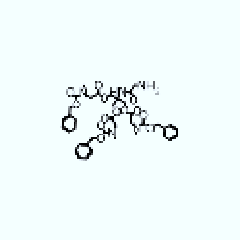 CN(CC(=O)OCC(COC(=O)CN(C)C(=O)OCc1ccccc1)(COC(=O)CN(C)C(=O)OCc1ccccc1)NC(=O)CN)C(=O)OCc1ccccc1